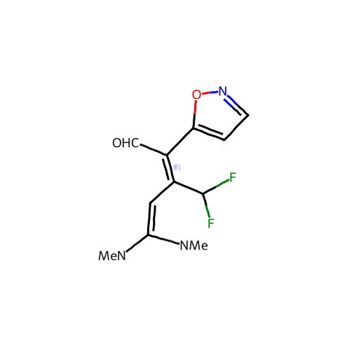 CNC(=C/C(=C(\C=O)c1ccno1)C(F)F)NC